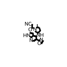 C[C@H]1CC[C@@H](Nc2c(-c3ncco3)cnc3[nH]ccc23)CN1C(=O)CC#N